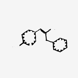 CNc1ccc(C=C(Cc2ccccc2)C(=O)O)cn1